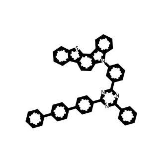 c1ccc(-c2ccc(-c3ccc(-c4nc(-c5ccccc5)nc(-c5cccc(-n6c7ccccc7c7c8sc9ccccc9c8ccc76)c5)n4)cc3)cc2)cc1